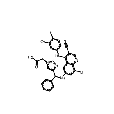 N#Cc1cnc2c(Cl)cc(NC(c3ccccc3)c3cn(CC(=O)O)nn3)cc2c1Nc1ccc(F)c(Cl)c1